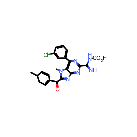 CC1C=CC(C(=O)c2nc3nc(C(=N)NC(=O)O)nc(-c4cccc(Cl)c4)c3n2C)=CC1